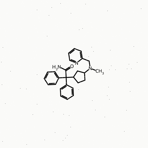 CN(Cc1ccccn1)C1CCC(C(C(N)=O)(c2ccccc2)c2ccccc2)C1